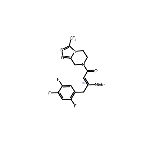 CN/C(=C\C(=O)N1CCn2c(nnc2C(F)(F)F)C1)Cc1cc(F)c(F)cc1F